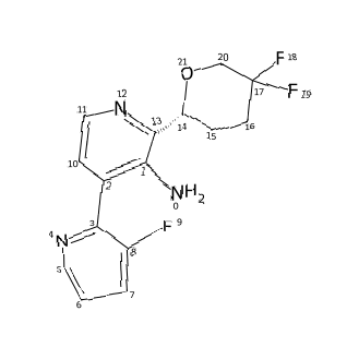 Nc1c(-c2ncccc2F)ccnc1[C@H]1CCC(F)(F)CO1